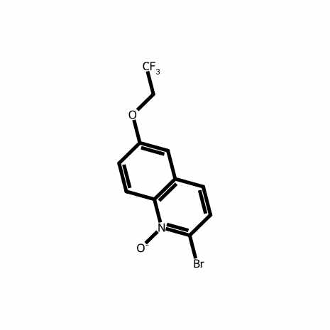 [O-][n+]1c(Br)ccc2cc(OCC(F)(F)F)ccc21